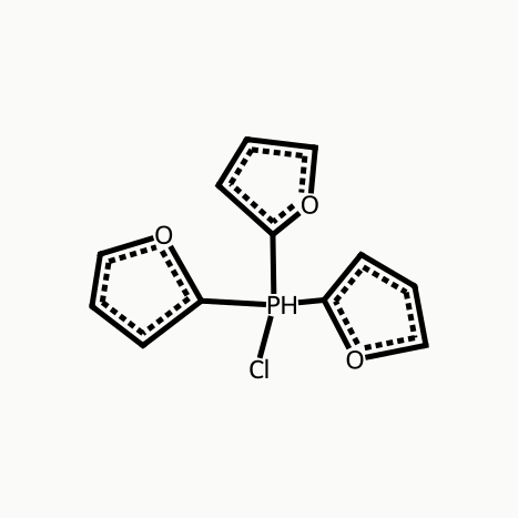 Cl[PH](c1ccco1)(c1ccco1)c1ccco1